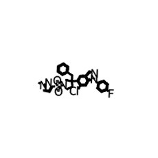 Cn1ccc(S(=O)(=O)N2CCC(Cc3ccccc3)(c3cc4cnn(-c5ccc(F)cc5)c4cc3Cl)C2)n1